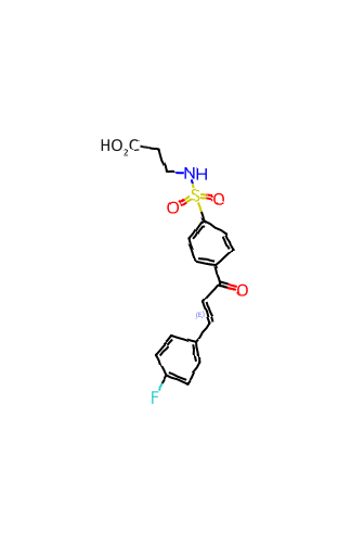 O=C(O)CCNS(=O)(=O)c1ccc(C(=O)/C=C/c2ccc(F)cc2)cc1